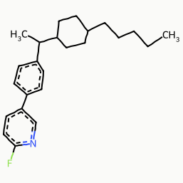 CCCCCC1CCC(C(C)c2ccc(-c3ccc(F)nc3)cc2)CC1